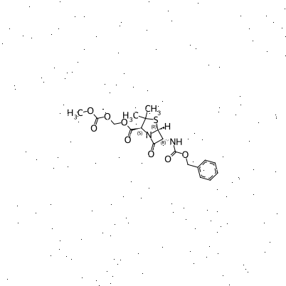 COC(=O)OCOC(=O)[C@@H]1N2C(=O)[C@@H](NC(=O)OCc3ccccc3)[C@H]2SC1(C)C